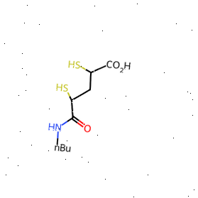 CCCCNC(=O)C(S)CC(S)C(=O)O